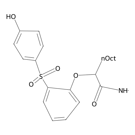 CCCCCCCCC(Oc1ccccc1S(=O)(=O)c1ccc(O)cc1)C([NH])=O